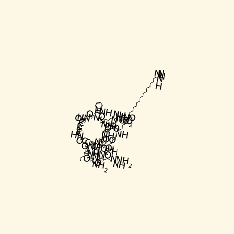 CCCC[C@H](NC(=O)[C@H](CN)NC(=O)[C@H](CCCNC(=N)N)NC(=O)COCCOCCNC(=O)CCCS(=O)(=O)NC(=O)CCCCCCCCCCCCCCCc1nnn[nH]1)C(=O)N[C@H]1CCC(=O)NCCCC[C@@H](C(C)=O)NC(=O)[C@H](Cc2c[nH]c3ccccc23)NC(=O)[C@H](CCCNC(=N)N)NC(=O)[C@@H](Cc2ccccc2)NC(=O)[C@@H]2C[C@@H](O)CN2C1=O